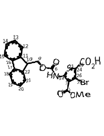 COC(=O)c1c(NC(=O)OCC2c3ccccc3-c3ccccc32)sc(C(=O)O)c1Br